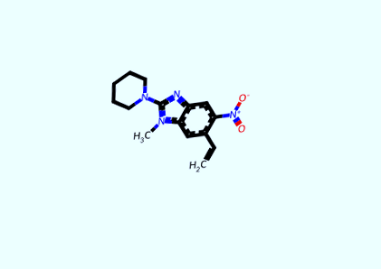 C=Cc1cc2c(cc1[N+](=O)[O-])nc(N1CCCCC1)n2C